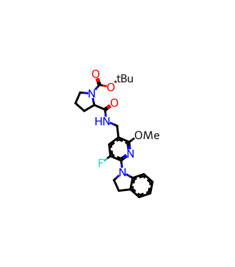 COc1nc(N2CCc3ccccc32)c(F)cc1CNC(=O)C1CCCN1C(=O)OC(C)(C)C